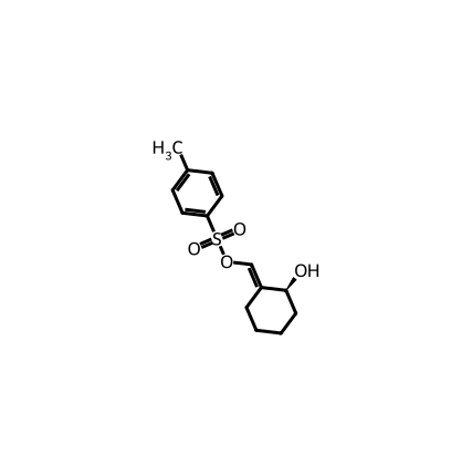 Cc1ccc(S(=O)(=O)OC=C2CCCC[C@@H]2O)cc1